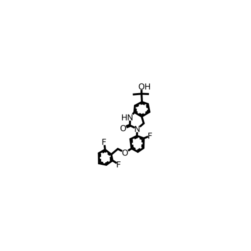 CC(C)(O)c1ccc2c(c1)NC(=O)N(c1cc(OCc3c(F)cccc3F)ccc1F)C2